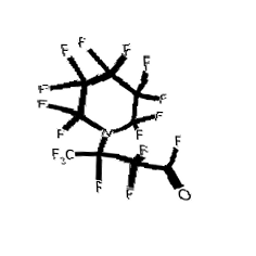 O=C(F)C(F)(F)C(F)(N1C(F)(F)C(F)(F)C(F)(F)C(F)(F)C1(F)F)C(F)(F)F